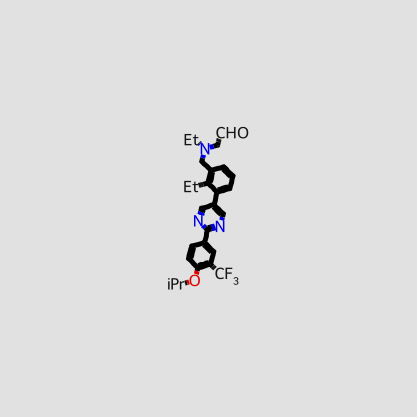 CCc1c(CN(CC)CC=O)cccc1-c1cnc(-c2ccc(OC(C)C)c(C(F)(F)F)c2)nc1